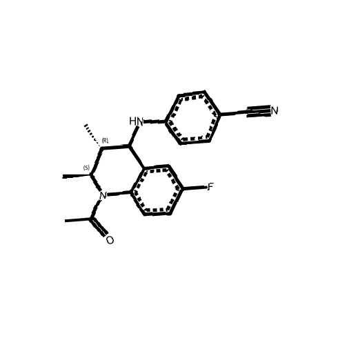 CC(=O)N1c2ccc(F)cc2C(Nc2ccc(C#N)cc2)[C@@H](C)[C@@H]1C